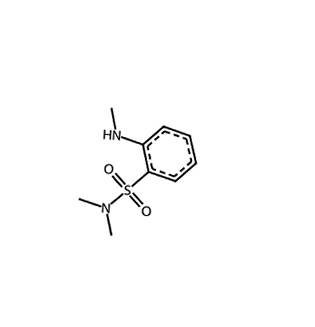 CNc1ccccc1S(=O)(=O)N(C)C